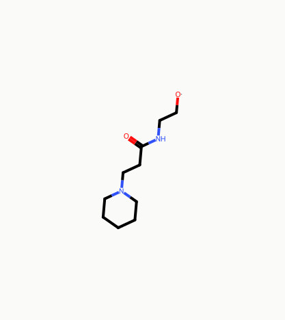 [O]CCNC(=O)CCN1CCCCC1